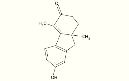 CC1=C2c3ccc(O)cc3CC2(C)CCC1=O